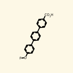 O=C(O)c1ccc(-c2ccc(-c3ccc(OF)cc3)cc2)cc1